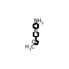 Cc1ccc(C2CCN(c3ccc(N)cc3)CC2)o1